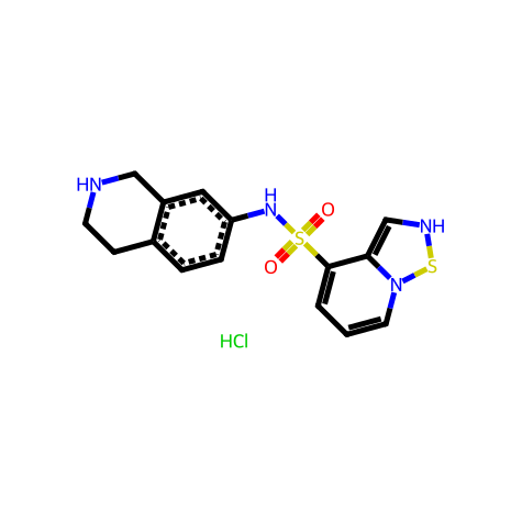 Cl.O=S(=O)(Nc1ccc2c(c1)CNCC2)C1=CC=CN2SNC=C12